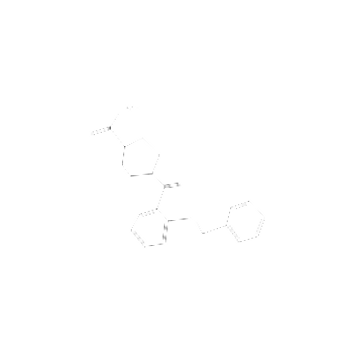 COC(=O)C1CCC(C(=O)c2ccccc2SCc2ccccc2)CC1